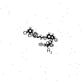 CC(C)(C)NC(C)(C)C(=O)OCn1c(=O)ccc2ccc(OCCCCN3CCN(c4cccc(Cl)c4Cl)CC3)cc21